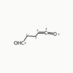 O=[C]CCC=C=O